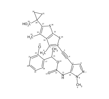 Cc1c(C#Cc2cnn(C)c2NC(=O)OC(C)c2ccccc2Cl)sc2sc(C3(C(=O)O)CC3)c(C)c12